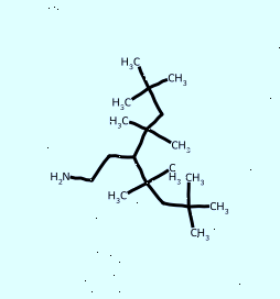 CC(C)(C)CC(C)(C)C(CCN)C(C)(C)CC(C)(C)C